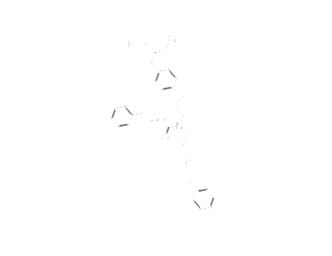 CCOC(Cc1ccc(OCCN(CCCCOCc2ccc(F)cc2)C(=O)OCCc2ccccc2)cc1)C(=O)O